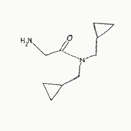 NCC(=O)N(CC1CC1)CC1CC1